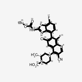 C[C@@H]1CN(c2c(C#N)cnc3c(F)c(-c4ccc(F)c5sc(NC(=O)OC(C)(C)C)nc45)c(Cl)cc23)CCN1C(=O)O